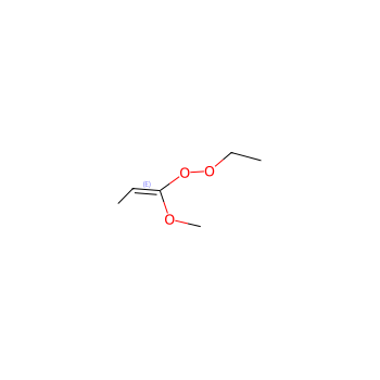 C/C=C(\OC)OOCC